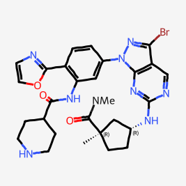 CNC(=O)[C@]1(C)CC[C@@H](Nc2ncc3c(Br)nn(-c4ccc(-c5ncco5)c(NC(=O)C5CCNCC5)c4)c3n2)C1